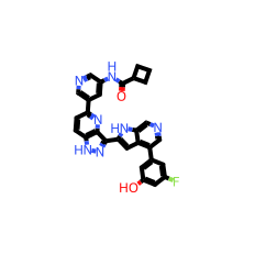 O=C(Nc1cncc(-c2ccc3[nH]nc(-c4cc5c(-c6cc(O)cc(F)c6)cncc5[nH]4)c3n2)c1)C1CCC1